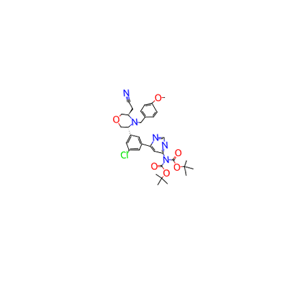 COc1ccc(CN2[C@H](CC#N)COC[C@H]2c2cc(Cl)cc(-c3cc(N(C(=O)OC(C)(C)C)C(=O)OC(C)(C)C)ncn3)c2)cc1